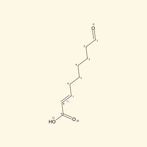 O=CCCCCC/C=C/C(=O)O